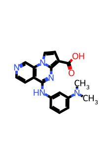 CN(C)c1cccc(Nc2nc3c(C(=O)O)ccn3c3cnccc23)c1